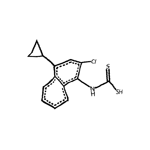 S=C(S)Nc1c(Cl)cc(C2CC2)c2ccccc12